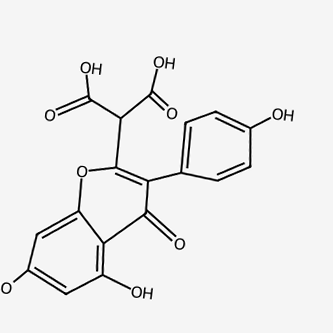 O=C(O)C(C(=O)O)c1oc2cc(O)cc(O)c2c(=O)c1-c1ccc(O)cc1